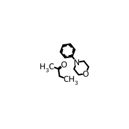 CCC(C)=O.c1ccc(N2CCOCC2)cc1